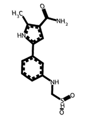 Cc1[nH]c(-c2cccc(NC[SH](=O)=O)c2)cc1C(N)=O